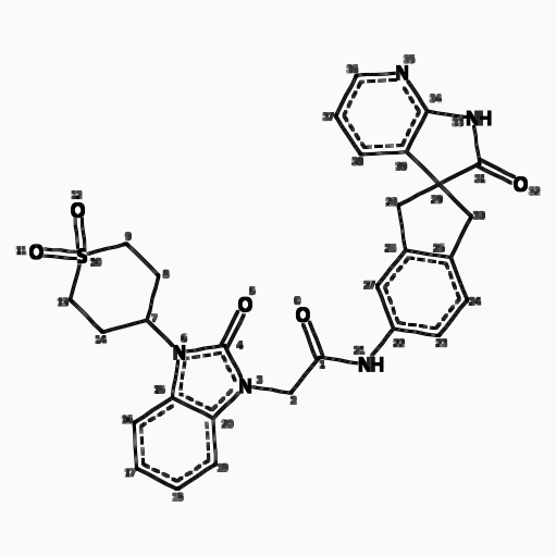 O=C(Cn1c(=O)n(C2CCS(=O)(=O)CC2)c2ccccc21)Nc1ccc2c(c1)CC1(C2)C(=O)Nc2ncccc21